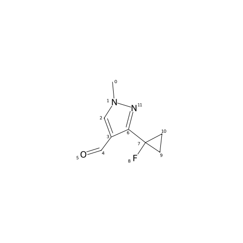 Cn1cc(C=O)c(C2(F)CC2)n1